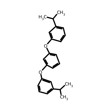 CC(C)c1cccc(Oc2cccc(Oc3cccc(C(C)C)c3)c2)c1